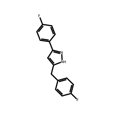 Fc1ccc(Cc2cc(-c3ccc(F)cc3)n[nH]2)cc1